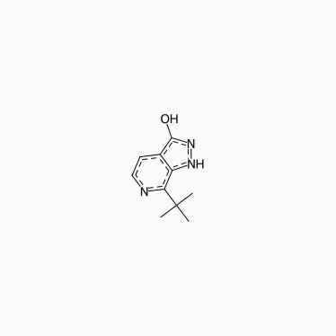 CC(C)(C)c1nccc2c(O)n[nH]c12